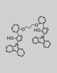 Oc1c(-n2c3ccccc3c3ccccc32)csc1-c1ccccc1OCCCOc1ccccc1-c1scc(-n2c3ccccc3c3ccccc32)c1O